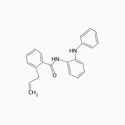 C=CCc1ccccc1C(=O)Nc1ccccc1Nc1ccccc1